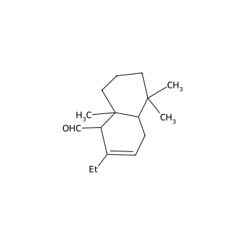 CCC1=CCC2C(C)(C)CCCC2(C)C1C=O